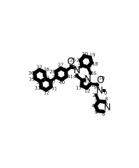 CN(Cc1cccnc1)C(=O)c1ccc2n1Cc1ccccc1N(C(=O)c1ccc(-c3cccc4ccccc34)cc1)C2